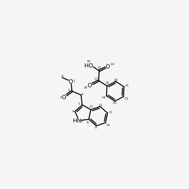 COC(=O)Cc1c[nH]c2ccccc12.O=C(O)C(=O)c1ccccc1